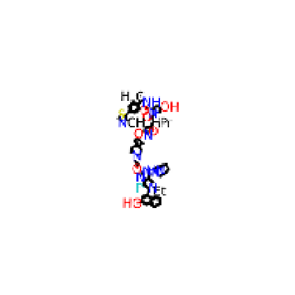 CCc1cccc2cc(O)cc(-c3ncc4c(N5CC6CCC(C5)N6)nc(OCCN5CCC6(CC5)CC(Oc5cc([C@@H](C(=O)N7C[C@H](O)C[C@H]7C(=O)N[C@@H](C)c7ccc(-c8scnc8C)cc7)C(C)C)on5)C6)nc4c3F)c12